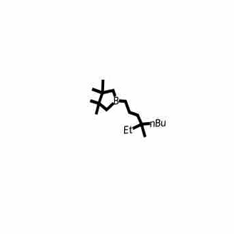 CCCCC(C)(CC)CCCB1CC(C)(C)C(C)(C)C1